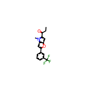 CCC(=O)c1cc2oc(-c3cccc(C(F)(F)F)c3)cc2n1C